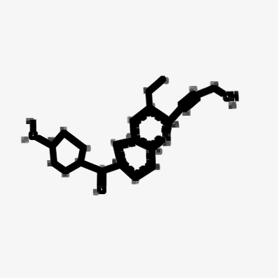 CCc1cc2cc(C(=O)C3CCC(OC)CC3)ccc2nc1C#CCO